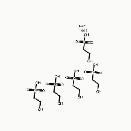 O=S(=O)(O)CCO.O=S(=O)(O)CCO.O=S(=O)(O)CCO.O=S(=O)(O)CCO.O=S(=O)(O)CCO.[NaH].[NaH]